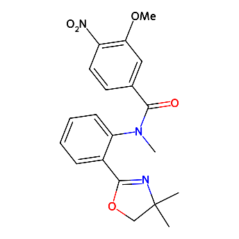 COc1cc(C(=O)N(C)c2ccccc2C2=NC(C)(C)CO2)ccc1[N+](=O)[O-]